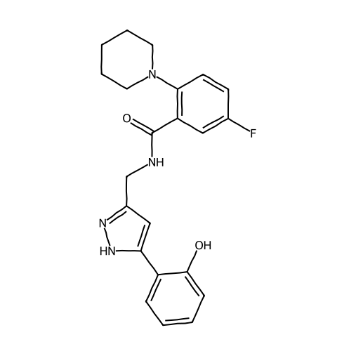 O=C(NCc1cc(-c2ccccc2O)[nH]n1)c1cc(F)ccc1N1CCCCC1